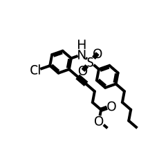 CCCCCc1ccc(S(=O)(=O)Nc2ccc(Cl)cc2C#CCCC(=O)OC)cc1